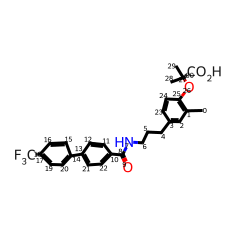 Cc1cc(CCCNC(=O)c2ccc(-c3ccc(C(F)(F)F)cc3)cc2)ccc1OC(C)(C)C(=O)O